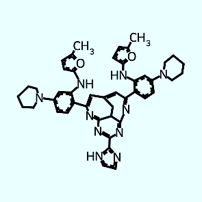 Cc1ccc(Nc2cc(N3CCCCC3)ccc2C2=CC3=CC(c4ccc(N5CCCCC5)cc4Nc4ccc(C)o4)=NC4=NC(c5ncc[nH]5)=NC(=N2)C4C3)o1